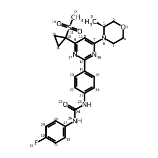 C[C@H]1COCCN1c1cc(C2(S(C)(=O)=O)CC2)nc(-c2ccc(NC(=O)Nc3ccc(F)cc3)cc2)n1